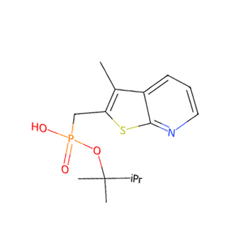 Cc1c(CP(=O)(O)OC(C)(C)C(C)C)sc2ncccc12